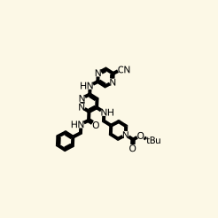 CC(C)(C)OC(=O)N1CCC(CNc2cc(Nc3cnc(C#N)cn3)nnc2C(=O)NCc2ccccc2)CC1